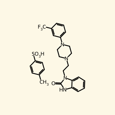 Cc1ccc(S(=O)(=O)O)cc1.O=c1[nH]c2ccccc2n1CCN1CCN(c2cccc(C(F)(F)F)c2)CC1